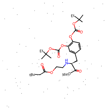 CCC(C)(C)OC(=O)Oc1ccc(C[C@H](NCCOC(=O)CC(C)(C)C)C(=O)OC)cc1OC(=O)OC(C)(C)CC